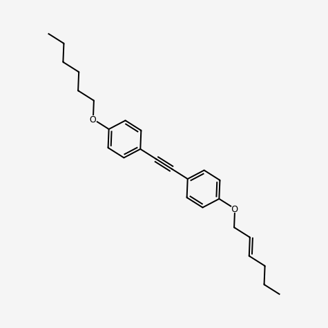 CCCC=CCOc1ccc(C#Cc2ccc(OCCCCCC)cc2)cc1